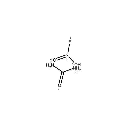 NC(N)=O.O=[Si](O)F